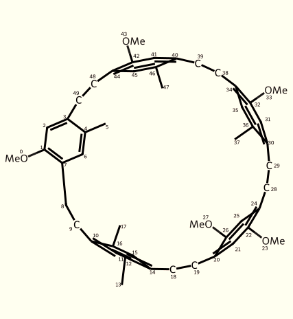 COc1cc2c(C)cc1CCc1cc(C)c(cc1C)CCc1cc(OC)c(cc1OC)CCc1cc(OC)c(cc1C)CCc1cc(OC)c(cc1C)CC2